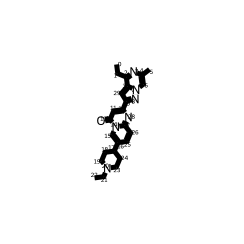 CCc1nc(C)cn2nc(-c3cc(=O)n4cc(C5CCN(CC)CC5)ccc4n3)cc12